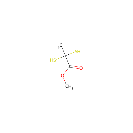 COC(=O)C(C)(S)S